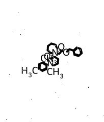 Cc1cc(C)c(N2CCCC([N+]3(CC(=O)OCc4ccccc4)CCCCCC3)C2=O)c(C)c1